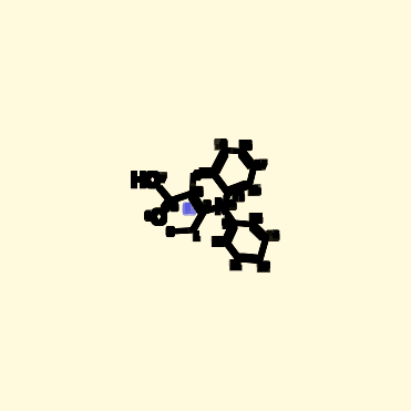 CC/C(=C(/C)C(=O)O)N(c1ccccc1)c1ccccc1